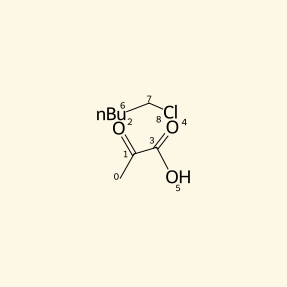 CC(=O)C(=O)O.CCCCCCl